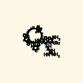 CC(C)(C)[C@H](NC(=O)[C@H](CCCNC(=N)N)NC(=O)[C@@H]1CCn2cc(nn2)CCCCC(=O)N2CCC[C@H]2C(=O)N[C@@H](C2CCCCC2)C(=O)N1)C(N)=O